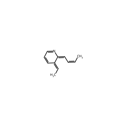 CC=c1cccn/c1=C/C=C\C